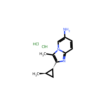 Cc1c([C@@H]2C[C@H]2C)nc2ccc(N)cn12.Cl.Cl